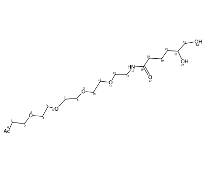 CC(=O)CCOCCOCCOCCOCCNC(=O)CCCC(O)CO